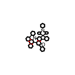 c1ccc(-c2cccc(-c3ccccc3N(c3ccc4c(c3)C3(c5ccccc5-4)c4ccccc4N(c4ccccc4)c4ccccc43)c3ccccc3-c3ccc4oc5ccccc5c4c3)c2)cc1